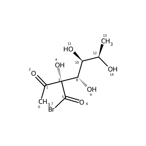 CC(=O)[C@](O)(C(=O)Br)[C@@H](O)[C@@H](O)[C@@H](C)O